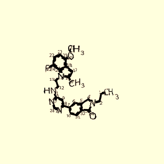 CCCN1Cc2cc(-c3cc(NCCn4c(C)cc5c(OC)ccc(F)c54)ncn3)ccc2C1=O